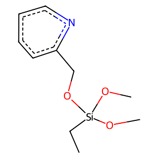 CC[Si](OC)(OC)OCc1ccccn1